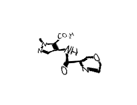 Cn1ncc(NC(=O)c2cocn2)c1C(=O)O